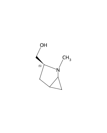 CN1C2CC2C[C@H]1CO